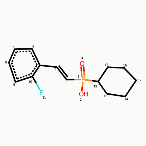 O=P(O)(C=Cc1ccccc1F)C1CCCCC1